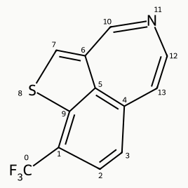 FC(F)(F)c1ccc2c3c(csc13)C=NC=C2